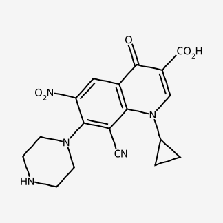 N#Cc1c(N2CCNCC2)c([N+](=O)[O-])cc2c(=O)c(C(=O)O)cn(C3CC3)c12